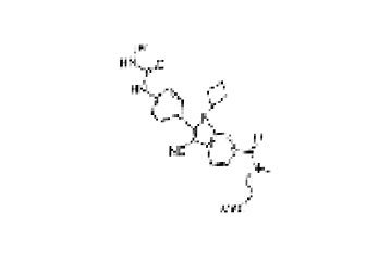 COCCN(C)C(=O)c1ccc2c(C#N)c(-c3ccc(NC(=O)NC(C)C)cc3)n(C3CCC3)c2c1